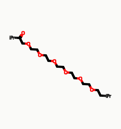 CC(C)CCOCCOCCOCCOCCOCCOCC(=O)C(C)C